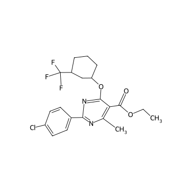 CCOC(=O)c1c(C)nc(-c2ccc(Cl)cc2)nc1OC1CCCC(C(F)(F)F)C1